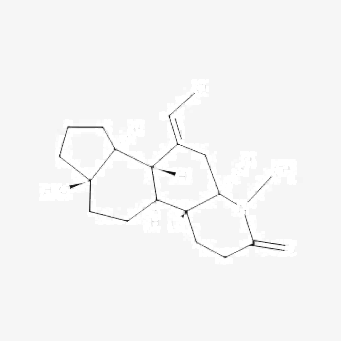 CN1C(=O)CC[C@@H]2[C@H]3CC[C@]4(C)CCC[C@H]4[C@@H]3C(=CCl)C[C@H]21